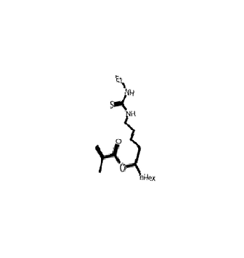 C=C(C)C(=O)OC(CCCCCC)CCCCNC(=S)NCC